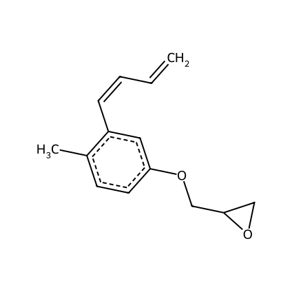 C=C/C=C\c1cc(OCC2CO2)ccc1C